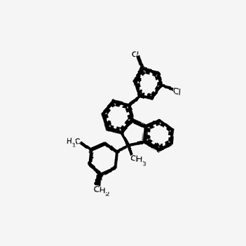 C=C1CC(C)CC(C2(C)c3ccccc3-c3c(-c4cc(Cl)cc(Cl)c4)cccc32)C1